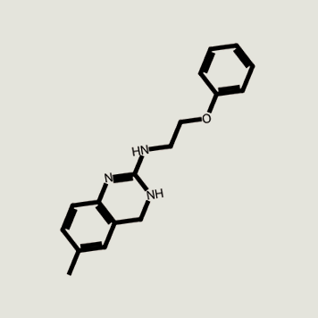 Cc1ccc2c(c1)CNC(NCCOc1ccccc1)=N2